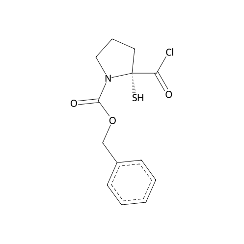 O=C(OCc1ccccc1)N1CCC[C@@]1(S)C(=O)Cl